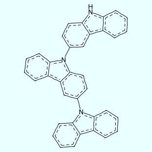 c1ccc2c(c1)[nH]c1ccc(-n3c4ccccc4c4cc(-n5c6ccccc6c6ccccc65)ccc43)cc12